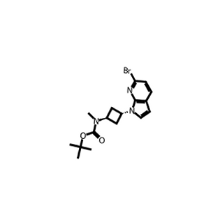 CN(C(=O)OC(C)(C)C)[C@H]1C[C@H](n2ccc3ccc(Br)nc32)C1